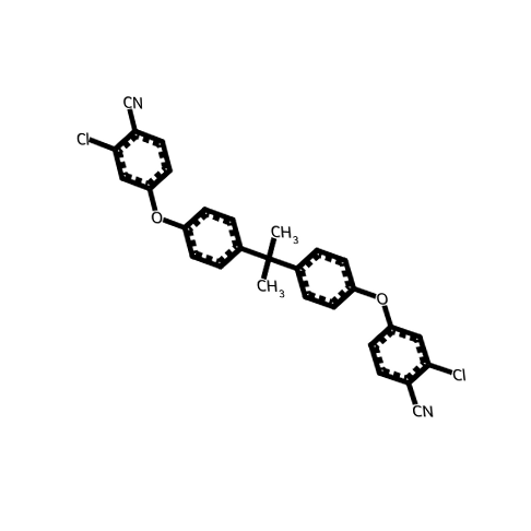 CC(C)(c1ccc(Oc2ccc(C#N)c(Cl)c2)cc1)c1ccc(Oc2ccc(C#N)c(Cl)c2)cc1